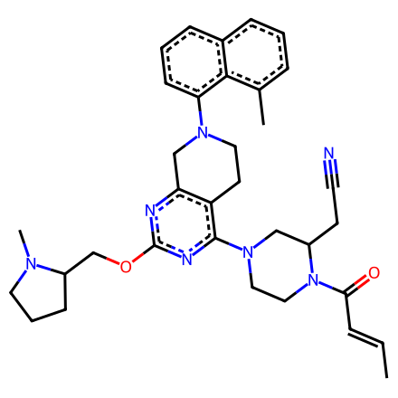 C/C=C/C(=O)N1CCN(c2nc(OCC3CCCN3C)nc3c2CCN(c2cccc4cccc(C)c24)C3)CC1CC#N